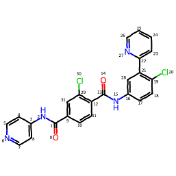 O=C(Nc1ccncc1)c1ccc(C(=O)Nc2ccc(Cl)c(-c3ccccn3)c2)c(Cl)c1